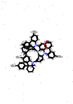 CC(C)(C)c1ccc(C23CCCCC2(C)N2c4ccc5c(c4)B4c6cc7c(cc6N(c6ccc(C(C)(C)C)cc6-c6ccccc6)c6cc(C(C)(C)C)cc(c64)N5c4ccc(C(C)(C)C)cc4-c4ccccc4)C(C)(C)CCC7(C)c4cc2c3cc4C(C)(C)C)cc1